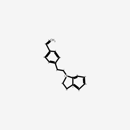 C=Cc1ccc(CCN2CCc3ccccc32)cc1